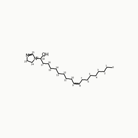 CCCCCCCC/C=C\CCCCCCCCC(O)N1C=NCC1